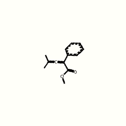 COC(=O)C(=C=C(C)C)c1ccccc1